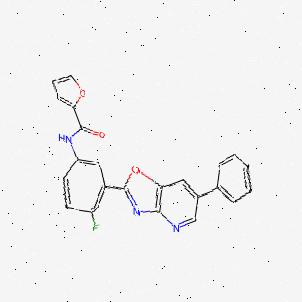 O=C(Nc1ccc(F)c(-c2nc3ncc(-c4ccccc4)cc3o2)c1)c1ccco1